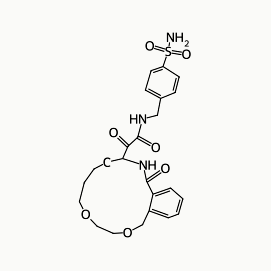 NS(=O)(=O)c1ccc(CNC(=O)C(=O)C2CCCCOCCOCc3ccccc3C(=O)N2)cc1